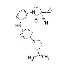 CN(C)C1CCN(c2ccc(Nc3cc(N4CC[C@@](C#N)(C5CC5)C4=O)ccn3)nc2)C1